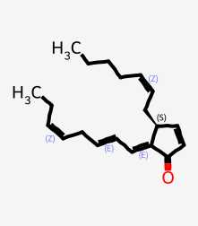 CC/C=C\C/C=C/C=C1/C(=O)C=C[C@@H]1C/C=C\CCCC